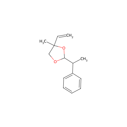 C=CC1(C)COC(C(C)c2ccccc2)O1